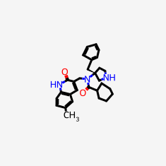 Cc1ccc2[nH]c(=O)c(CN(C(=O)C3CCCCC3)[C@]3(Cc4ccccc4)CCNC3)cc2c1